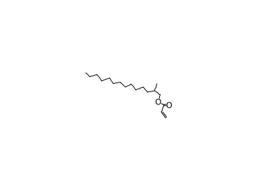 C=CC(=O)OCC(C)CCCCCCCCCCCC